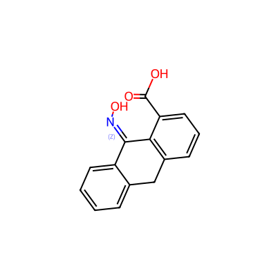 O=C(O)c1cccc2c1/C(=N\O)c1ccccc1C2